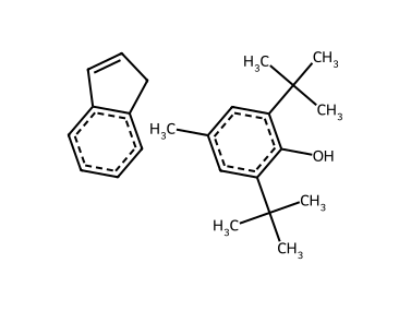 C1=Cc2ccccc2C1.Cc1cc(C(C)(C)C)c(O)c(C(C)(C)C)c1